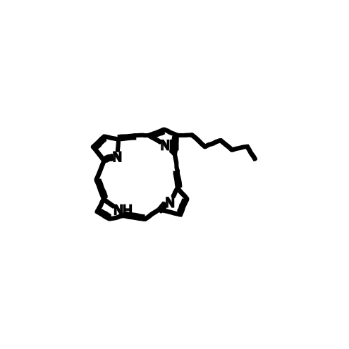 CCCCCCc1cc2cc3nc(cc4ccc(cc5nc(cc1[nH]2)C=C5)[nH]4)C=C3